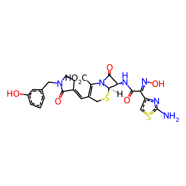 Nc1nc(C(=NO)C(=O)N[C@@H]2C(=O)N3C(C(=O)O)=C(C=C4CCN(Cc5cccc(O)c5)C4=O)CS[C@H]23)cs1